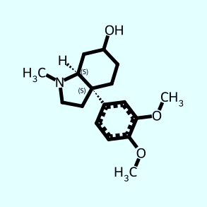 COc1ccc([C@@]23CCC(O)C[C@@H]2N(C)CC3)cc1OC